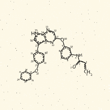 C=CC(=O)Nc1cccc(Oc2cnc3[nH]cc(-c4ccc(Oc5ccccc5)cc4)c3n2)c1